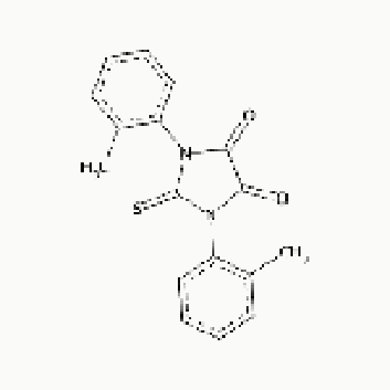 Cc1ccccc1N1C(=O)C(=O)N(c2ccccc2C)C1=S